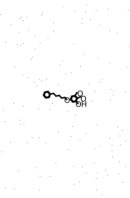 O=C1OCc2cc(OCCCCCc3ccccc3)cc(O)c21